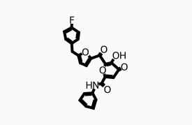 O=C(Nc1ccccc1)c1cc(=O)c(O)c(C(=O)c2ccc(Cc3ccc(F)cc3)o2)o1